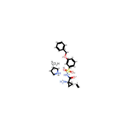 C=C[C@@H]1C[C@]1(N)C(=O)NS(=O)(=O)c1cccc(OCc2ccccc2)c1.O=C(O)[C@H]1CCNC1